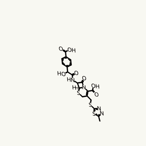 Cc1nnc(SCC2=C(C(=O)O)N3C(=O)C(NC(=O)C(O)c4ccc(C(=O)O)cc4)[C@@H]3SC2)s1